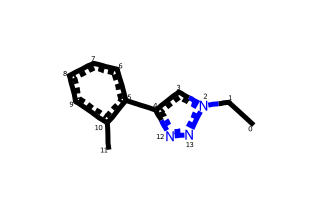 CCn1cc(-c2ccccc2C)nn1